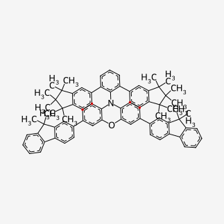 CC1(C)c2ccccc2-c2ccc(-c3ccc4c(c3)Oc3cc(-c5ccc6c(c5)C(C)(C)c5ccccc5-6)ccc3N4c3c(-c4ccc5c(c4)C(C)(C)C(C)(C)C5(C)C)cccc3-c3ccc4c(c3)C(C)(C)C(C)(C)C4(C)C)cc21